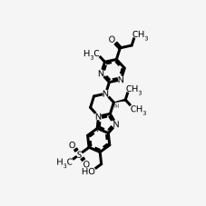 CCC(=O)c1cnc(N2CCn3c(nc4cc(CO)c(S(C)(=O)=O)cc43)[C@@H]2C(C)C)nc1C